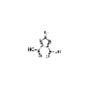 O=C1N=C(C(=O)O)C(C(=O)O)=N1